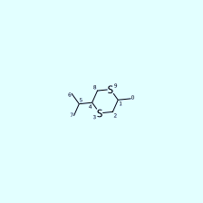 CC1CSC(C(C)C)CS1